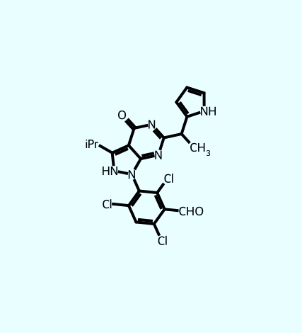 CC(C)c1[nH]n(-c2c(Cl)cc(Cl)c(C=O)c2Cl)c2nc(C(C)c3ccc[nH]3)nc(=O)c1-2